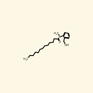 CCCCCCCCCCCCC(=O)N(C)c1ccccc1CO